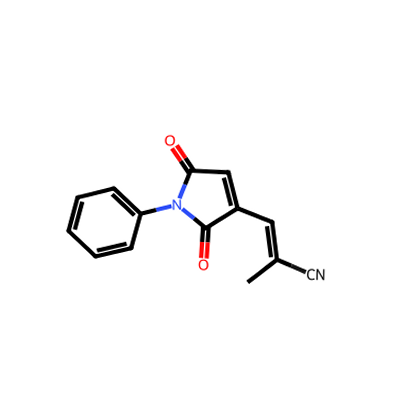 CC(C#N)=CC1=CC(=O)N(c2ccccc2)C1=O